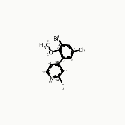 COc1c(Br)cc(Cl)cc1-c1ccnc(F)c1